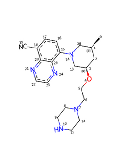 C[C@H]1C[C@@H](OCCN2CCNCC2)CN(c2ccc(C#N)c3nccnc23)C1